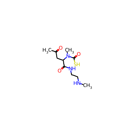 CNCCNC(=O)C(CC(C)=O)N(C)C(=O)S